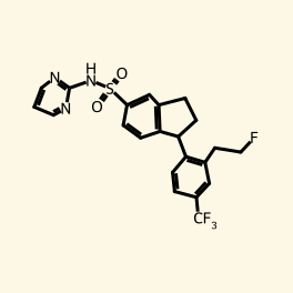 O=S(=O)(Nc1ncccn1)c1ccc2c(c1)CCC2c1ccc(C(F)(F)F)cc1CCF